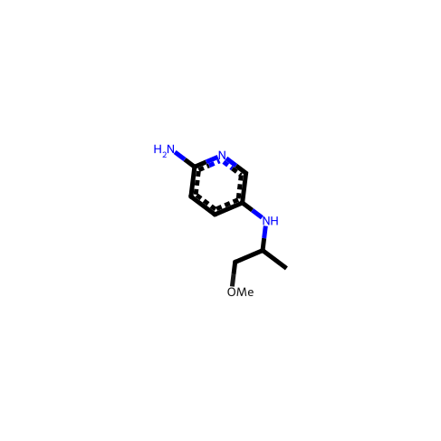 COCC(C)Nc1ccc(N)nc1